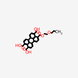 CCCOCCOC(=O)c1ccc2c3ccc(C(=O)O)c4c(C(=O)O)ccc(c5ccc(C(=O)O)c1c52)c43